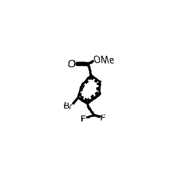 COC(=O)c1ccc(C(F)F)c(Br)c1